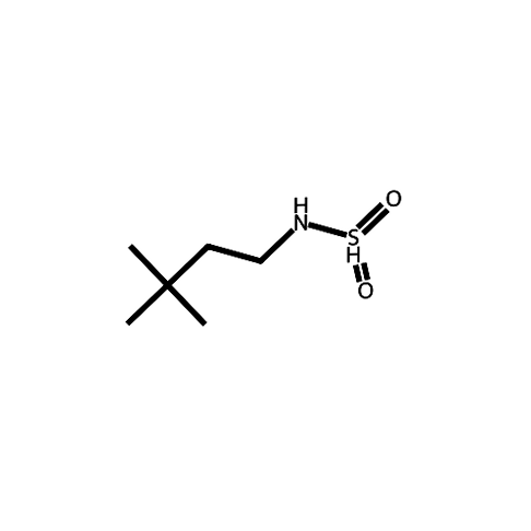 CC(C)(C)CCN[SH](=O)=O